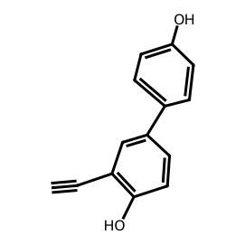 C#Cc1cc(-c2ccc(O)cc2)ccc1O